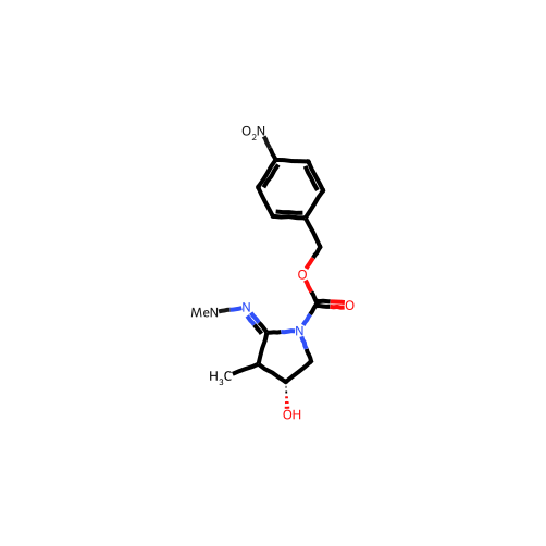 CNN=C1C(C)[C@@H](O)CN1C(=O)OCc1ccc([N+](=O)[O-])cc1